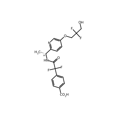 C[C@@H](NC(=O)C(F)(F)c1ccc(C(=O)O)cc1)c1ccc(OCC(F)(F)CO)cn1